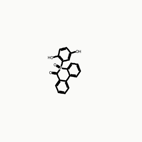 O=C1c2ccccc2-c2ccccc2P1(=O)c1cc(O)ccc1O